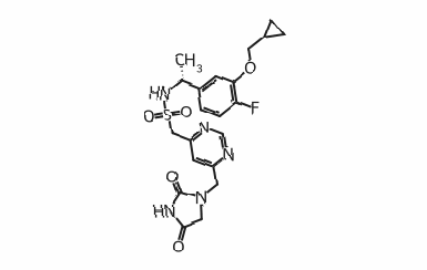 C[C@@H](NS(=O)(=O)Cc1cc(CN2CC(=O)NC2=O)ncn1)c1ccc(F)c(OCC2CC2)c1